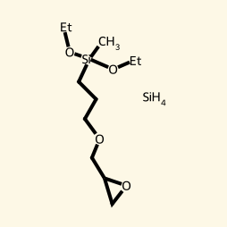 CCO[Si](C)(CCCOCC1CO1)OCC.[SiH4]